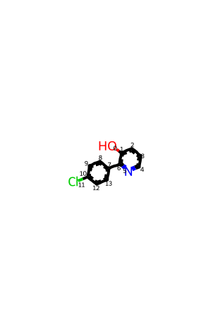 Oc1cccnc1-c1ccc(Cl)cc1